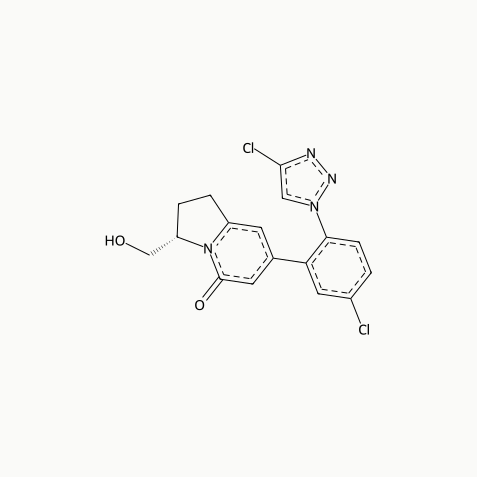 O=c1cc(-c2cc(Cl)ccc2-n2cc(Cl)nn2)cc2n1[C@H](CO)CC2